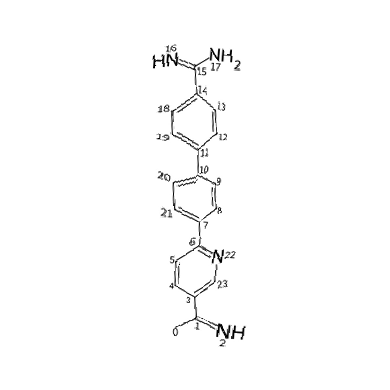 CC(=N)c1ccc(-c2ccc(-c3ccc(C(=N)N)cc3)cc2)nc1